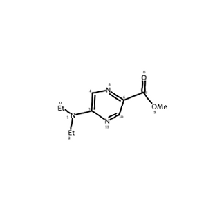 CCN(CC)c1cnc(C(=O)OC)cn1